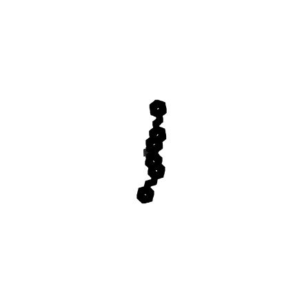 c1ccc(CCc2ccc3cc4c(cc3c2)sc2cc3cc(CCc5ccccc5)ccc3cc24)cc1